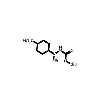 CCCN(NC(=O)OC(C)(C)C)C1CCC(C(=O)O)CC1